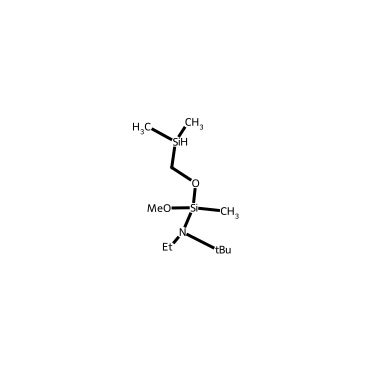 CCN(C(C)(C)C)[Si](C)(OC)OC[SiH](C)C